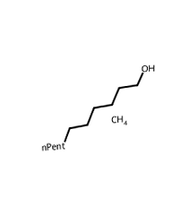 C.CCCCCCCCCCCO